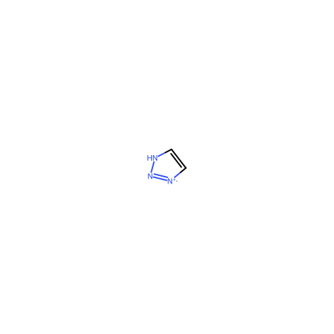 C1=CNN=[N+]1